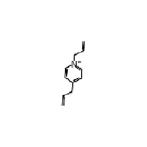 C=CCc1cc[n+](CC=C)cc1